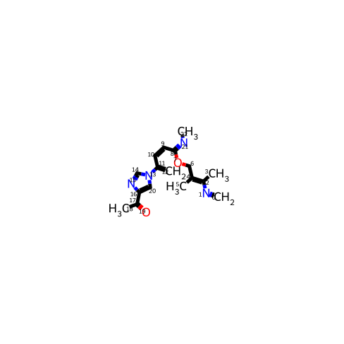 C=N/C(C)=C(\C)COC(/C=C\C(=C)n1cnc(C(C)=O)c1)=N/C